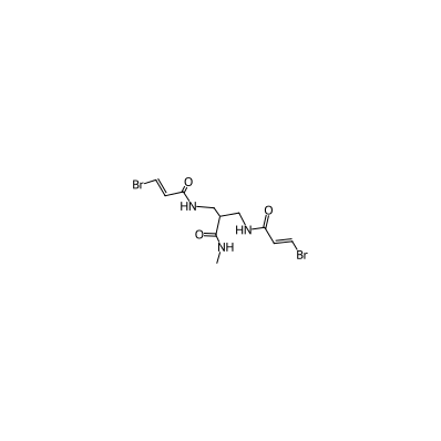 CNC(=O)C(CNC(=O)/C=C/Br)CNC(=O)/C=C/Br